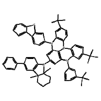 CC(C)(C)c1cccc(N2c3cc(C(C)(C)C)ccc3B3c4ccc(C(C)(C)C)cc4N(c4ccc5c(c4)sc4ccccc45)c4cc(N5c6ccc(-c7ccccc7)cc6C6(C)CCCCC56C)cc2c43)c1